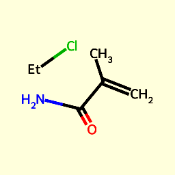 C=C(C)C(N)=O.CCCl